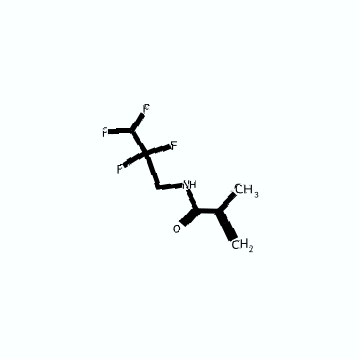 C=C(C)C(=O)NCC(F)(F)C(F)F